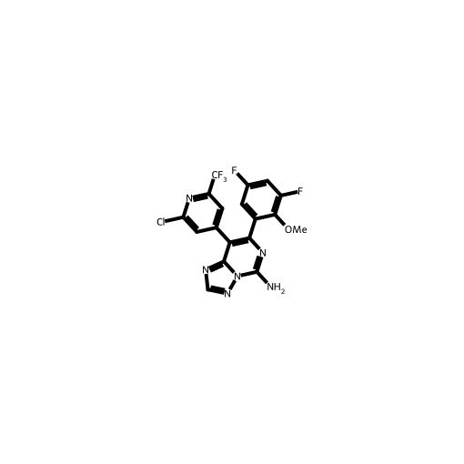 COc1c(F)cc(F)cc1-c1nc(N)n2ncnc2c1-c1cc(Cl)nc(C(F)(F)F)c1